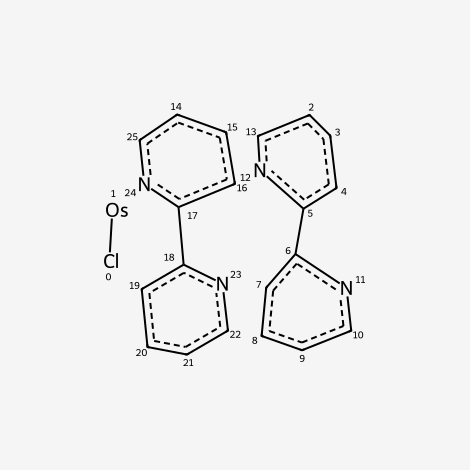 [Cl][Os].c1ccc(-c2ccccn2)nc1.c1ccc(-c2ccccn2)nc1